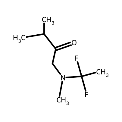 CC(C)C(=O)CN(C)C(C)(F)F